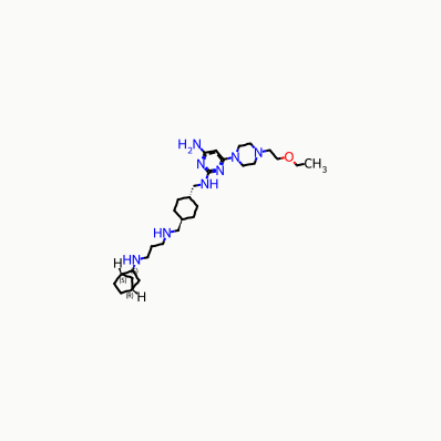 CCOCCN1CCN(c2cc(N)nc(NC[C@H]3CC[C@H](CNCCCN[C@H]4C[C@@H]5CC[C@H]4C5)CC3)n2)CC1